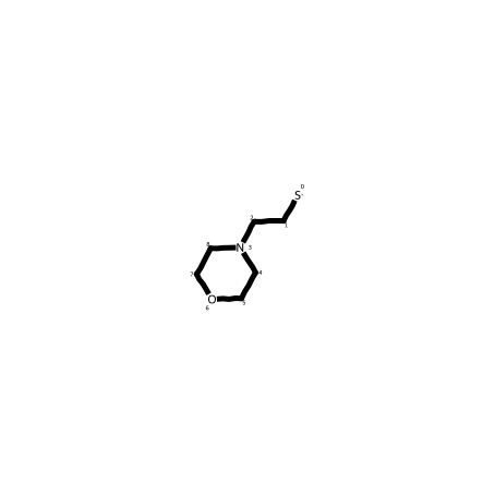 [S]CCN1CCOCC1